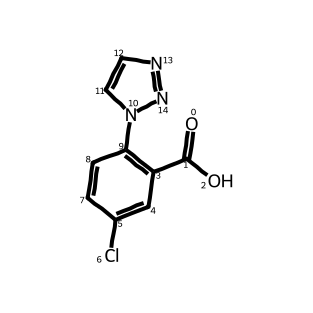 O=C(O)c1cc(Cl)ccc1-n1ccnn1